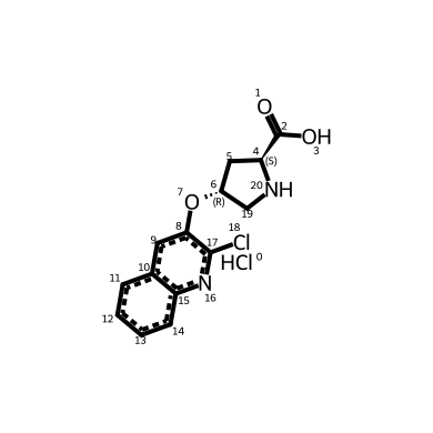 Cl.O=C(O)[C@@H]1C[C@@H](Oc2cc3ccccc3nc2Cl)CN1